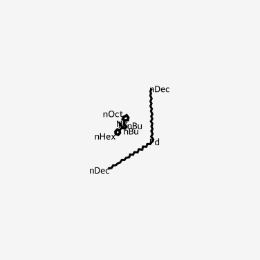 CCCCCCCCCCCCCCCCCCCCCCCCCCCCC[CH2][Pd][CH2]CCCCCCCCCCCCCCCCCCCCCCCCCCCCC.CCCCCCCCc1cccc(C2=C(CCCC)C(CCCC)=C(c3ccc(CCCCCC)cc3)[N+]2=[N-])c1